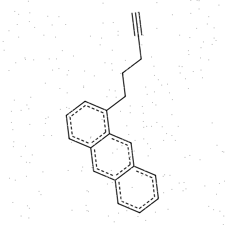 [C]#CCCCc1cccc2cc3ccccc3cc12